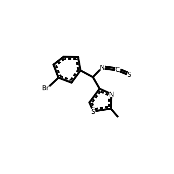 Cc1nc(C(N=C=S)c2cccc(Br)c2)cs1